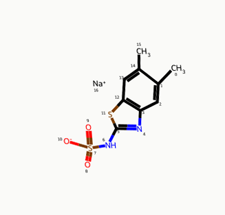 Cc1cc2nc(NS(=O)(=O)[O-])sc2cc1C.[Na+]